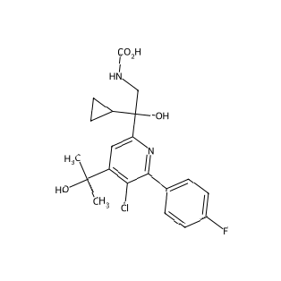 CC(C)(O)c1cc(C(O)(CNC(=O)O)C2CC2)nc(-c2ccc(F)cc2)c1Cl